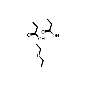 CCC(=O)O.CCC(=O)O.CCOCC